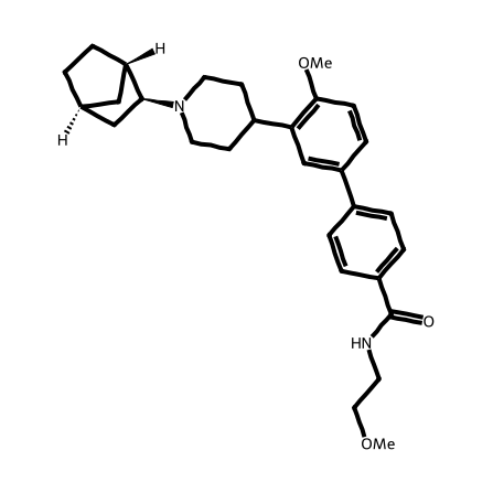 COCCNC(=O)c1ccc(-c2ccc(OC)c(C3CCN([C@H]4C[C@H]5CC[C@H]4C5)CC3)c2)cc1